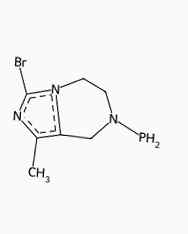 Cc1nc(Br)n2c1CN(P)CC2